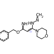 C=NN/C(=C\C(=N)OCc1ccccc1)N1CCOCC1